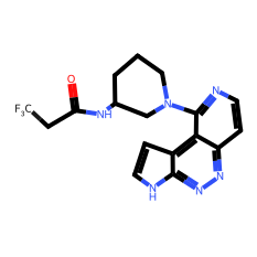 O=C(CC(F)(F)F)NC1CCCN(c2nccc3nnc4[nH]ccc4c23)C1